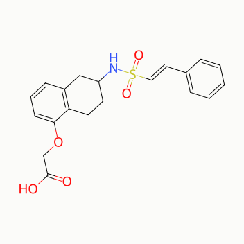 O=C(O)COc1cccc2c1CCC(NS(=O)(=O)/C=C/c1ccccc1)C2